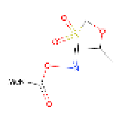 CNC(=O)ON=C1C(C)OCS1(=O)=O